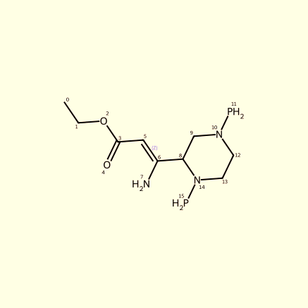 CCOC(=O)/C=C(\N)C1CN(P)CCN1P